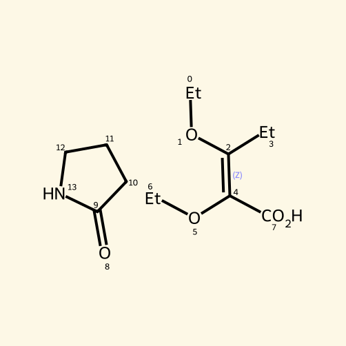 CCO/C(CC)=C(\OCC)C(=O)O.O=C1CCCN1